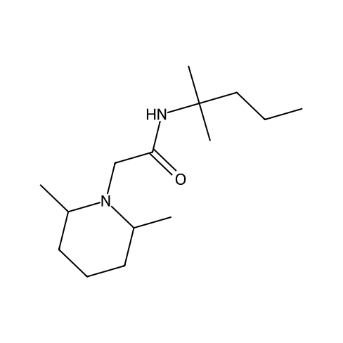 CCCC(C)(C)NC(=O)CN1C(C)CCCC1C